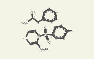 CCOC(=O)C1=CSC=CN1S(=O)(=O)c1ccc(C)cc1.NC(Cc1ccccc1)C(=O)O